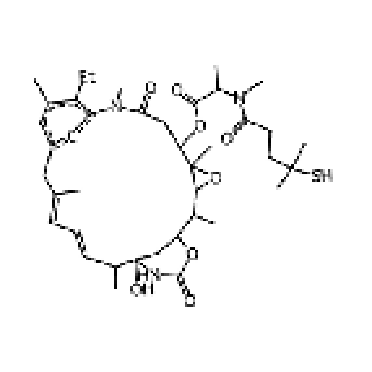 CCc1c(C)cc2cc1N(C)C(=O)CC(OC(=O)C(C)N(C)C(=O)CCC(C)(C)S)C1(C)OC1C(C)C1CC(O)(NC(=O)O1)C(C)/C=C/C=C(\C)C2